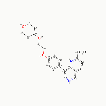 CCOC(=O)c1ccc2cncc(-c3ccc(OCCOC4CCOCC4)cc3)c2n1